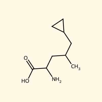 CC(CC1CC1)CC(N)C(=O)O